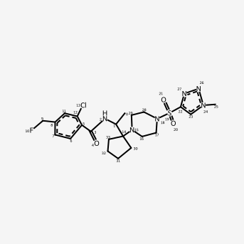 CC(NC(=O)c1ccc(CF)cc1Cl)C1(N2CCN(S(=O)(=O)c3cn(C)nn3)CC2)CCCC1